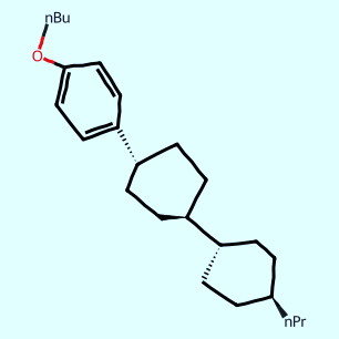 CCCCOc1ccc([C@H]2CC[C@H]([C@H]3CC[C@H](CCC)CC3)CC2)cc1